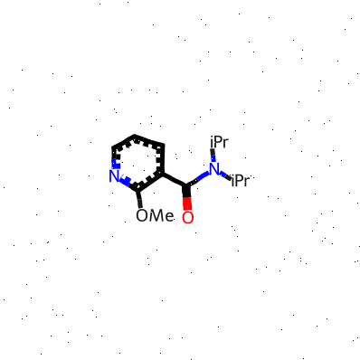 COc1ncccc1C(=O)N(C(C)C)C(C)C